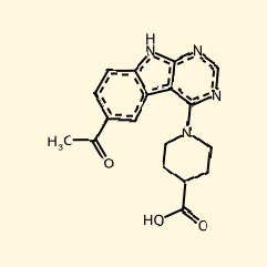 CC(=O)c1ccc2[nH]c3ncnc(N4CCC(C(=O)O)CC4)c3c2c1